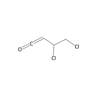 O=C=CC(Cl)CCl